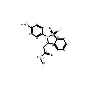 COc1ccc(N2C(CC(=O)NO)c3ccccc3S2(=O)=O)cn1